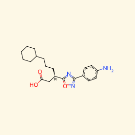 Nc1ccc(-c2noc([C@H](CCCC3CCCCC3)CC(=O)O)n2)cc1